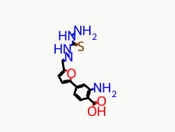 NNC(=S)NN=Cc1ccc(-c2ccc(C(=O)O)c(N)c2)o1